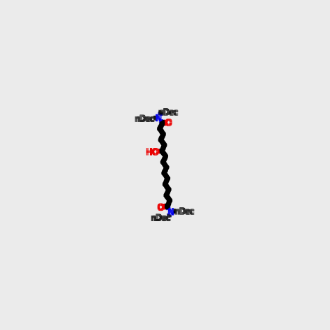 CCCCCCCCCCN(CCCCCCCCCC)C(=O)CCCCCCCCCC(O)CCCCC(=O)N(CCCCCCCCCC)CCCCCCCCCC